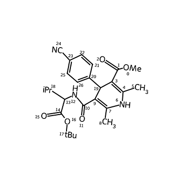 COC(=O)C1=C(C)NC(C)=C(C(=O)NC(C(=O)OC(C)(C)C)C(C)C)C1c1ccc(C#N)cc1